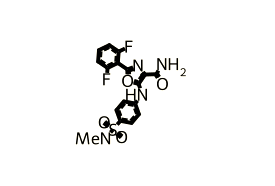 CNS(=O)(=O)c1ccc(Nc2oc(-c3c(F)cccc3F)nc2C(N)=O)cc1